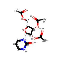 CC(C)C(=O)OC[C@H]1O[C@@H](n2cccnc2=O)[C@@H](OC(=O)C(C)C)[C@H]1OC(=O)C(C)C